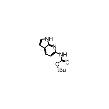 CC(C)(C)OC(=O)Nc1ccc2cc[nH]c2n1